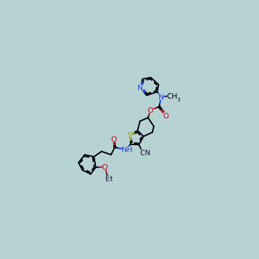 CCOc1ccccc1CCC(=O)Nc1sc2c(c1C#N)CCC(OC(=O)N(C)c1cccnc1)C2